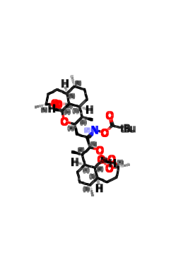 C[C@H]1[C@@H](/C(C[C@H]2O[C@@H]3O[C@]4(C)CC[C@H]5[C@H](C)CC[C@@H]([C@H]2C)[C@@]35OO4)=N\OC(=O)C(C)(C)C)O[C@@H]2O[C@]3(C)CC[C@H]4[C@H](C)CC[C@@H]1[C@@]24OO3